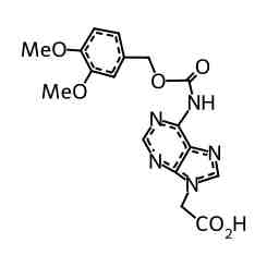 COc1ccc(COC(=O)Nc2ncnc3c2ncn3CC(=O)O)cc1OC